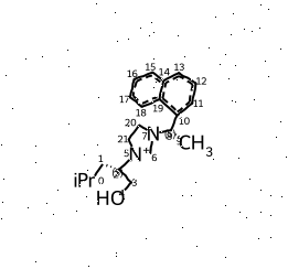 CC(C)C[C@@H](CO)[N+]1=CN([C@@H](C)c2cccc3ccccc23)CC1